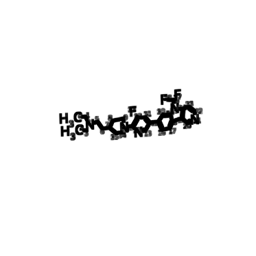 CCN(CC)CCC1CCN(c2ncc(-c3ccc4c5cnccc5n(C(F)F)c4c3)cc2F)CC1